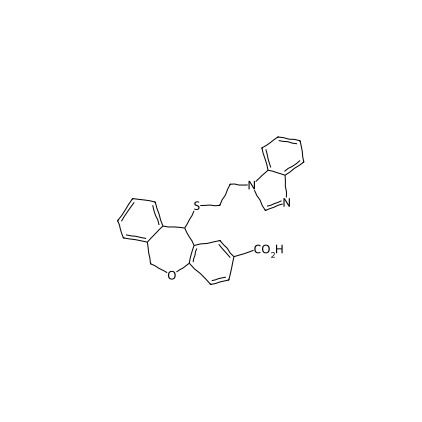 O=C(O)c1ccc2c(c1)C(SCCn1cnc3ccccc31)c1ccccc1CO2